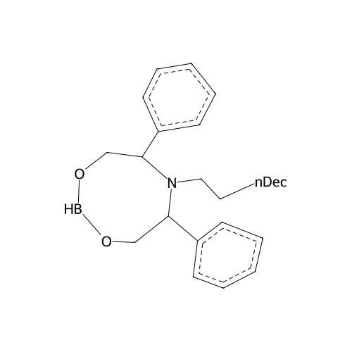 CCCCCCCCCCCCN1C(c2ccccc2)COBOCC1c1ccccc1